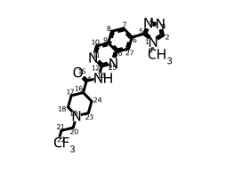 Cn1cnnc1-c1ccc2cnc(NC(=O)C3CCN(CCC(F)(F)F)CC3)nc2c1